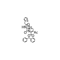 CC(=O)C1=C(C(=O)OC(c2ccccc2)c2ccccc2)N2C(=O)C(NC(=O)Cc3cccs3)[C@@H]2SC1